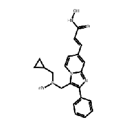 CCCN(Cc1c(-c2ccccc2)nc2cc(/C=C/C(=O)NO)ccn12)CC1CC1